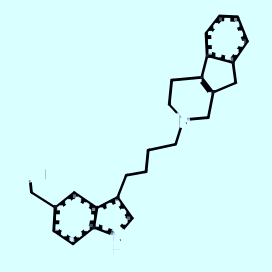 OCc1ccc2[nH]cc(CCCCN3CCC4=C(Cc5ccccc54)C3)c2c1